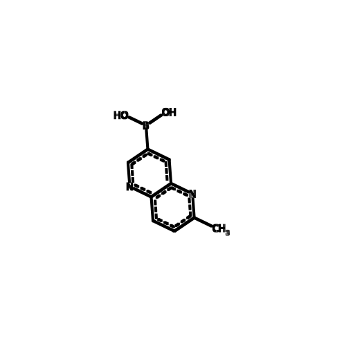 Cc1ccc2ncc(B(O)O)cc2n1